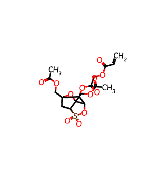 C=CC(=O)OCC(=O)OC1C2OS(=O)(=O)C3CC1(COC(C)=O)OC23COC(C)=O